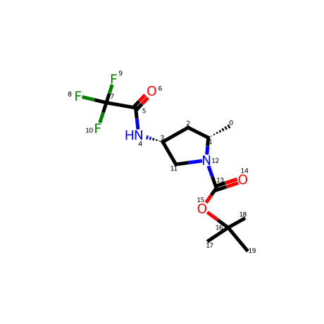 C[C@H]1C[C@@H](NC(=O)C(F)(F)F)CN1C(=O)OC(C)(C)C